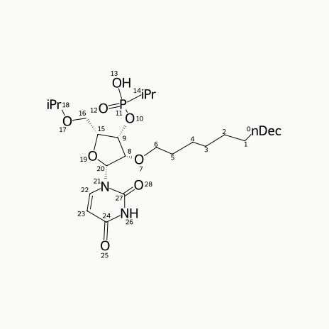 CCCCCCCCCCCCCCCCO[C@H]1[C@@H](OP(=O)(O)C(C)C)[C@@H](COC(C)C)O[C@H]1n1ccc(=O)[nH]c1=O